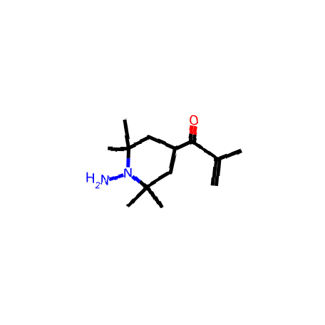 C=C(C)C(=O)C1CC(C)(C)N(N)C(C)(C)C1